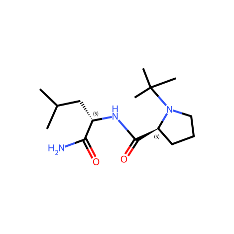 CC(C)C[C@H](NC(=O)[C@@H]1CCCN1C(C)(C)C)C(N)=O